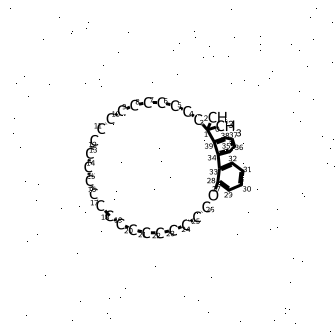 CC1(C)CCCCCCCCCCCCCCCCCCCCCCCCOc2ccccc2-c2ccccc21